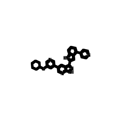 c1cc(-c2ccncc2)c2cc(-c3n[nH]c4ncc(-c5cncc(OC6CCCCC6)c5)cc34)[nH]c2c1